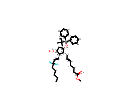 CCCCCC(F)(F)/C=C/[C@@H]1[C@@H](C/C=C/CCCC(=O)OC)[C@@H](O[Si](c2ccccc2)(c2ccccc2)C(C)(C)C)C[C@H]1O